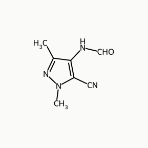 Cc1nn(C)c(C#N)c1NC=O